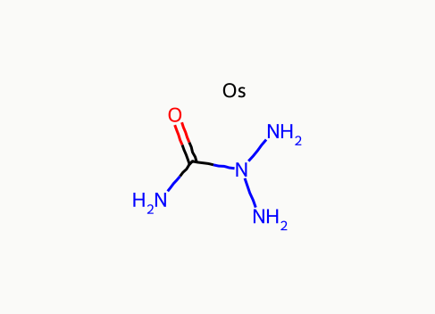 NC(=O)N(N)N.[Os]